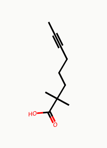 CC#CCCCC(C)(C)C(=O)O